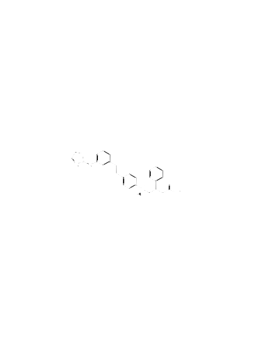 COC(=O)CC(CS(=O)(=O)c1ccc(CCc2cccc(NC3N=CCS3)c2)cc1)c1ccccc1